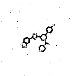 CCc1ccc(C2CC(c3nc(-c4ccc5c(c4)OCO5)no3)CN(C(=O)N3CCOCC3)C2)cc1